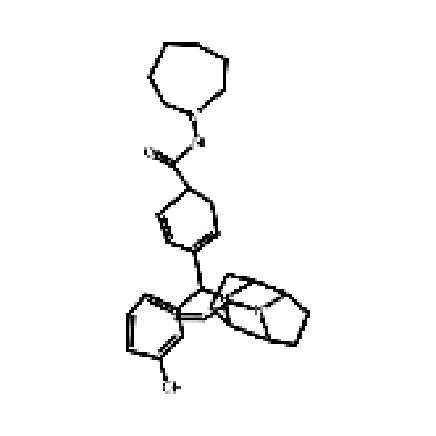 C=CCN1C2CCC1C1CCC2N1C(C1=CCC(C(=O)NN2CCCCCC2)C=C1)c1cccc(O)c1